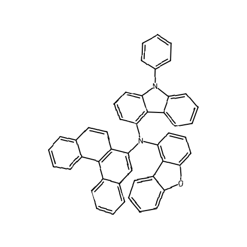 c1ccc(-n2c3ccccc3c3c(N(c4cc5ccccc5c5c4ccc4ccccc45)c4cccc5oc6ccccc6c45)cccc32)cc1